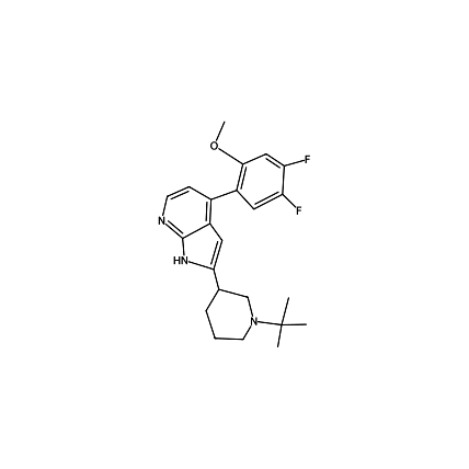 COc1cc(F)c(F)cc1-c1ccnc2[nH]c(C3CCCN(C(C)(C)C)C3)cc12